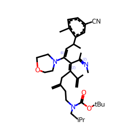 C=C(CCN(CC(C)C)C(=O)OC(C)(C)C)C/C(C(=C)C)=C(C(/C)=N\C)\C(=C/C(C)c1cc(C#N)ccc1C)N1CCOCC1